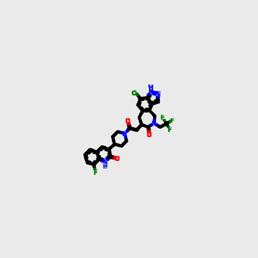 O=C(CC1Cc2cc(Cl)c3[nH]ncc3c2CN(CC(F)(F)F)C1=O)N1CCC(c2cc3cccc(F)c3[nH]c2=O)CC1